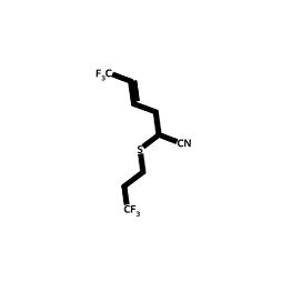 N#CC(C/C=C/C(F)(F)F)SCCC(F)(F)F